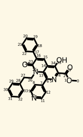 COC(=O)c1nc(-c2ccncc2)c2c(cc(-c3ccccc3)c(=O)n2CCc2ccccc2)c1O